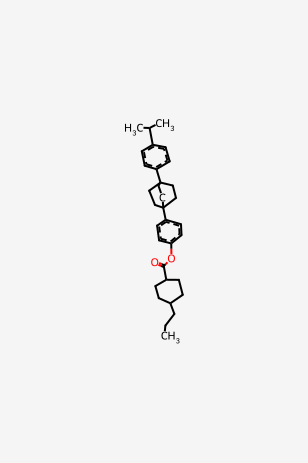 CCCC1CCC(C(=O)Oc2ccc(C34CCC(c5ccc(C(C)C)cc5)(CC3)CC4)cc2)CC1